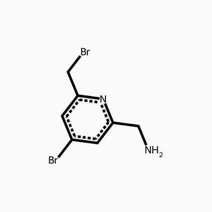 NCc1cc(Br)cc(CBr)n1